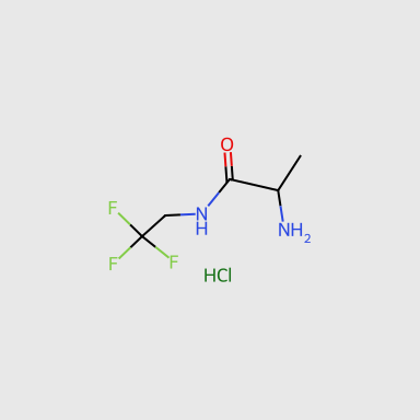 CC(N)C(=O)NCC(F)(F)F.Cl